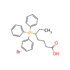 CCC(CCCC(=O)O)[P+](c1ccccc1)(c1ccccc1)c1ccccc1.[Br-]